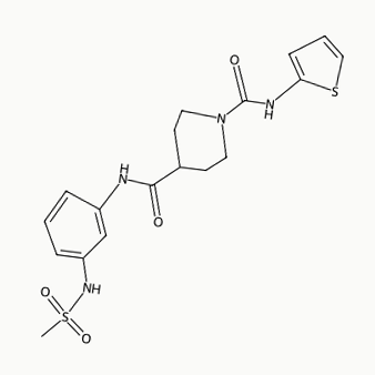 CS(=O)(=O)Nc1cccc(NC(=O)C2CCN(C(=O)Nc3cccs3)CC2)c1